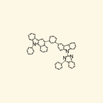 c1ccc(-c2nc(-n3c4ccccc4c4cc(-c5cccc(-c6cc7c8ccccc8n(-c8ccccc8)c7c7ccccc67)c5)ccc43)nc3ccccc23)cc1